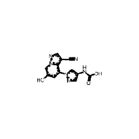 N#Cc1cnn2cc(O)cc(-n3cc(NC(=O)O)cn3)c12